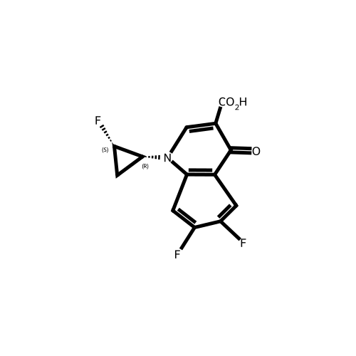 O=C(O)c1cn([C@@H]2C[C@@H]2F)c2cc(F)c(F)cc2c1=O